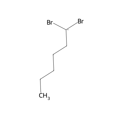 CCCCC[C](Br)Br